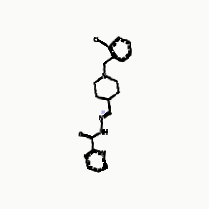 O=C(N/N=C/C1CCN(Cc2ccccc2Cl)CC1)c1ccccn1